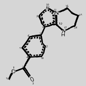 COC(=O)c1ccc(-c2cnn3c2NCCC3)cc1